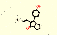 CC=CC1=C(c2ccc(O)cc2)C2CCCC2C1=O